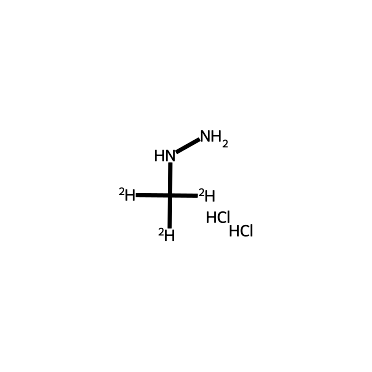 Cl.Cl.[2H]C([2H])([2H])NN